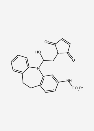 CCOC(=O)Nc1ccc2c(c1)N(C(O)CN1C(=O)C=CC1=O)c1ccccc1CC2